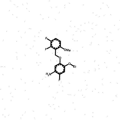 CCOc1cc(F)c(N)cc1OCc1c(OC)ccc(F)c1F